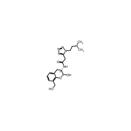 CN(C)CCn1nnnc1CC(=O)N[C@H]1Cc2cccc(CO)c2OB1O